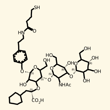 CC(=O)NC1C(O[C@@H]2OC(CO)[C@H](O)C(O)C2O)[C@@H](O)C(CO)O[C@H]1O[C@H]1C(CO)O[C@@H](Oc2ccc(CCNC(=O)CCCS)cc2)C(O)C1O[C@@H](CC1CCCCC1)C(=O)O